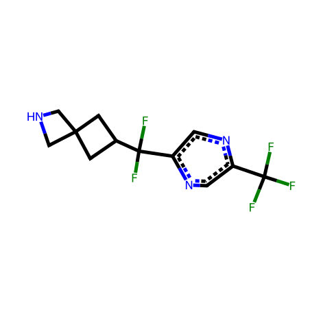 FC(F)(F)c1cnc(C(F)(F)C2CC3(CNC3)C2)cn1